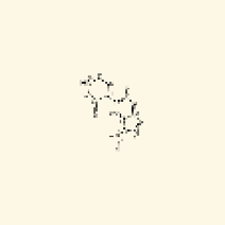 Cc1cc2cnn(PI)c2cc1C1CCNCC1F